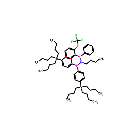 CCCCN(P(c1ccc([Si](CCCC)(CCCC)CCCC)cc1)c1ccc([Si](CCCC)(CCCC)CCCC)cc1)P(c1ccccc1)c1ccccc1OC(F)(F)F